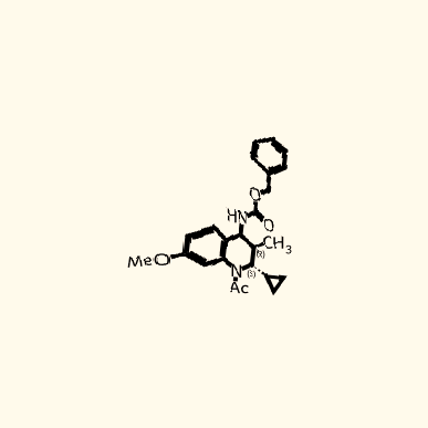 COc1ccc2c(c1)N(C(C)=O)[C@@H](C1CC1)[C@H](C)C2NC(=O)OCc1ccccc1